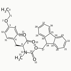 CCOc1ccc(C[C@@H](C(=O)O)N(C)C(=O)OCC2c3ccccc3-c3ccccc32)cc1